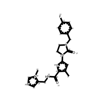 Cc1cc(N2CCN(Cc3ccc(F)cc3)C2=O)sc1C(=O)NCc1cncn1C